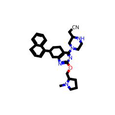 CN1CCCC1COc1nc2c(c(N3CCNC(CC#N)C3)n1)CCC(c1cccc3ccccc13)C2